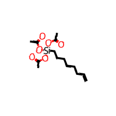 C=CCCCCCC[Si](OC(C)=O)(OC(C)=O)OC(C)=O